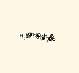 CO[Si](CCCCCCOC(=O)CCC(=O)OCCCCCC[Si](OC)(OC)c1ccccc1)(OC)c1ccccc1